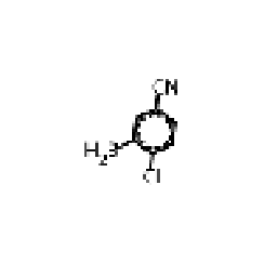 Bc1cc(C#N)ccc1Cl